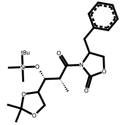 C[C@@H](C(=O)N1C(=O)OCC1Cc1ccccc1)[C@@H](O[Si](C)(C)C(C)(C)C)C1COC(C)(C)O1